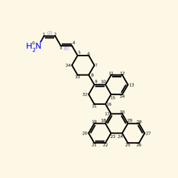 N/C=C\C=C\C1CCC(C2=C3C=CC=CC3C(C3=C4C=CC=CC4C4CCC=CC4=C3)CC2)CC1